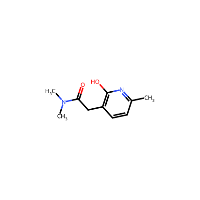 Cc1ccc(CC(=O)N(C)C)c(O)n1